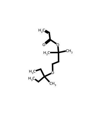 C=CC(=O)OC(C)(C)CCOC(C)(CC)CC